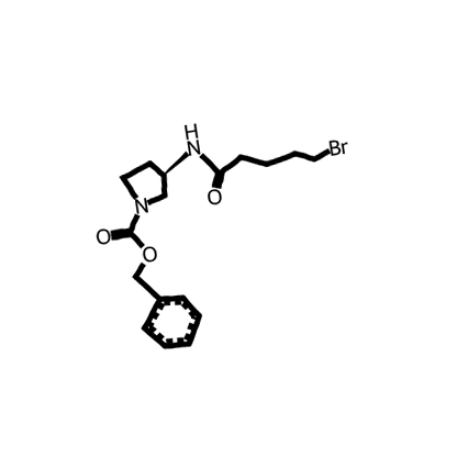 O=C(CCCCBr)N[C@@H]1CCN(C(=O)OCc2ccccc2)C1